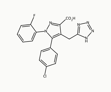 O=C(O)c1nn(-c2ccccc2F)c(-c2ccc(Cl)cc2)c1Cc1nnn[nH]1